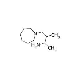 CC(N)C(C)CN1CCCCCC1